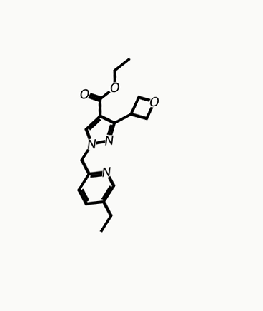 CCOC(=O)c1cn(Cc2ccc(CC)cn2)nc1C1COC1